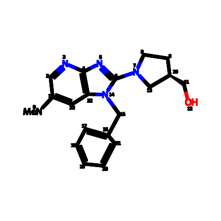 CNc1cnc2nc(N3CC[C@@H](CO)C3)n(Cc3ccccc3)c2c1